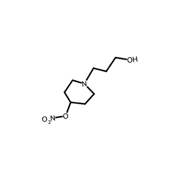 O=[N+]([O-])OC1CCN(CCCO)CC1